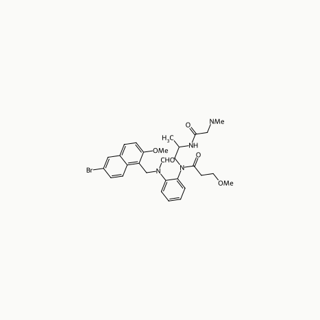 CNCC(=O)NC(C)CN(C(=O)CCOC)c1ccccc1N(C=O)Cc1c(OC)ccc2cc(Br)ccc12